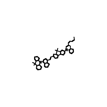 C/C=C\C=C/C1=CN(c2ccc3c(c2)C(C)(C)c2cc(/C=C/c4ccc(N5c6ccccc6C(C)(C)c6ccccc65)c5ccccc45)ccc2-3)c2ccccc2C1